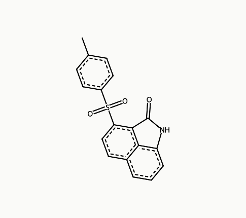 Cc1ccc(S(=O)(=O)c2ccc3cccc4c3c2C(=O)N4)cc1